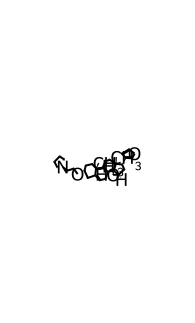 C[C@]12CC[C@H](OCCN3CCCC3)CC1=CC[C@@H]1[C@@H]2CC[C@]2(C)[C@@H](c3ccoc3)C[C@H]3O[C@]132